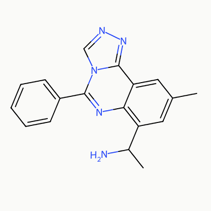 Cc1cc(C(C)N)c2nc(-c3ccccc3)n3cnnc3c2c1